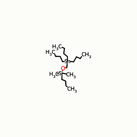 CCCC[Si](C)(C)O[CH2][Sn]([CH2]CCC)([CH2]CCC)[CH2]CCC